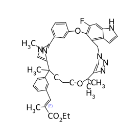 CCOC(=O)/C(C)=C/c1cccc(C2(C)CCCOC(C)(C)c3cn(nn3)Cc3c(c(F)cc4[nH]ccc34)Oc3cccc(c3)-c3nc2cn3C)c1